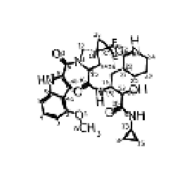 COc1cccc2[nH]c(C(=O)N3C[C@]4(C[C@H]3C(=O)N[C@@H](C[C@@H]3CCCNC3=O)C(O)C(=O)NC3CC3)CC4(F)F)cc12